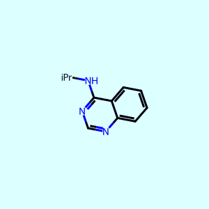 CC(C)Nc1ncnc2ccccc12